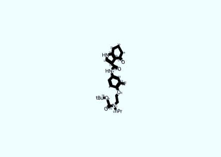 CCCN(CCOc1ccc(NC(=O)c2c[nH]c3c2C(=O)CCC3)cc1F)C(=O)OC(C)(C)C